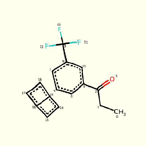 CCC(=O)c1cccc(C(F)(F)F)c1.c1cc2ccc1-2